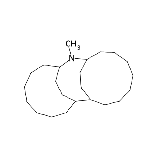 CN1C2CCCCCCCC(CC2)C2CCCCCCCC1CC2